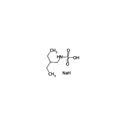 CCC(CC)CNS(=O)(=O)O.[NaH]